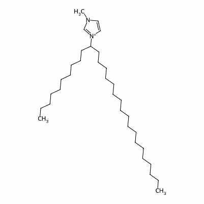 CCCCCCCCCCCCCCCCCCC(CCCCCCCCCC)[n+]1ccn(C)c1